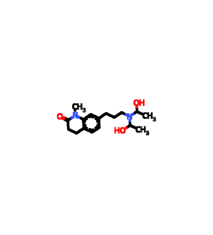 CC(O)N(CCCc1ccc2c(c1)N(C)C(=O)CC2)C(C)O